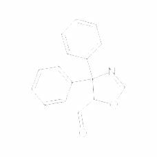 O=CC1OC=NC1(c1ccccc1)c1ccccc1